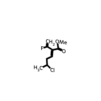 C=C(F)/C(=C\CC(C)Cl)C(=O)OC